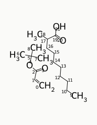 C=CC(=O)OC(C)(C)C.CCCCCCCCC(C)C(=O)O